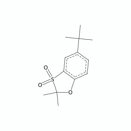 CC(C)(C)c1ccc2c(c1)S(=O)(=O)C(C)(C)O2